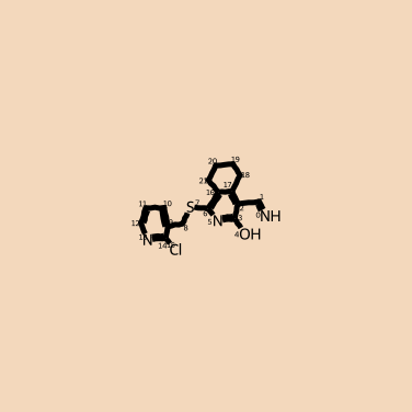 N=Cc1c(O)nc(SCc2cccnc2Cl)c2c1CCCC2